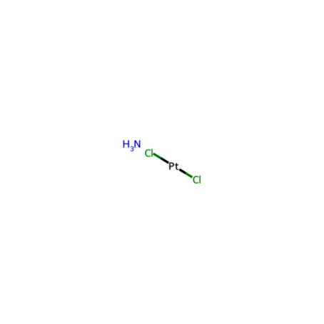 N.[Cl][Pt][Cl]